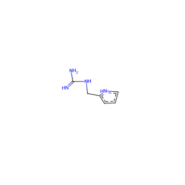 N=C(N)NCc1ccc[nH]1